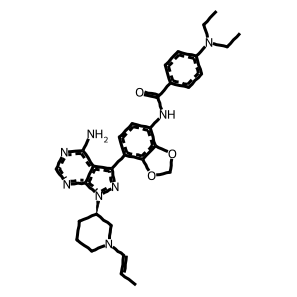 CC=CN1CCC[C@@H](n2nc(-c3ccc(NC(=O)c4ccc(N(CC)CC)cc4)c4c3OCO4)c3c(N)ncnc32)C1